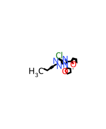 CCCC#Cc1nc(Cl)c2nc(-c3ccco3)n([C@H]3[CH]CCO3)c2n1